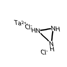 [Cl-].[Cl-].[Ta+2].[nH]1[nH][nH]1